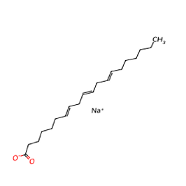 CCCCCCC=CCC=CCC=CCCCCCC(=O)[O-].[Na+]